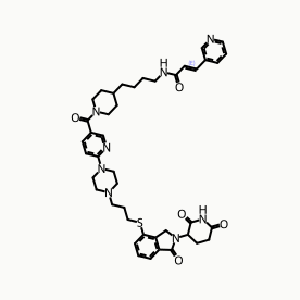 O=C(/C=C/c1cccnc1)NCCCCC1CCN(C(=O)c2ccc(N3CCN(CCCSc4cccc5c4CN(C4CCC(=O)NC4=O)C5=O)CC3)nc2)CC1